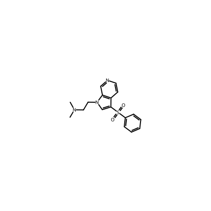 CN(C)CCn1cc(S(=O)(=O)c2ccccc2)c2ccncc21